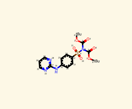 CC(C)(C)OC(=O)N(C(=O)OC(C)(C)C)S(=O)(=O)c1ccc(Nc2ncccn2)cc1